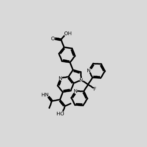 CC(=N)/C(=C(/C)O)c1cnc2c(-c3ccc(C(=O)O)cc3)cn(C(F)(c3ccccn3)c3ccccn3)c2c1